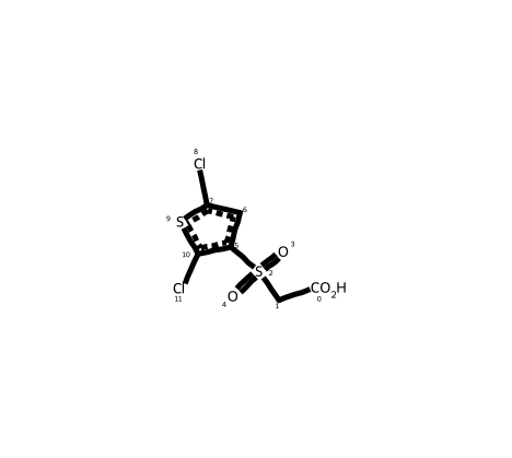 O=C(O)CS(=O)(=O)c1cc(Cl)sc1Cl